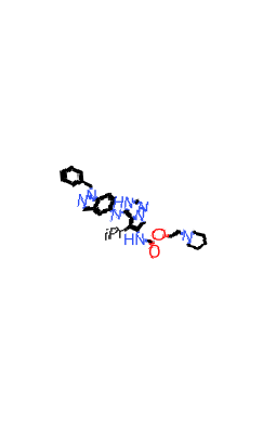 CC(C)c1c(NC(=O)OCCN2CCCCC2)cn2ncnc(Nc3ccc4c(cnn4Cc4ccccc4)c3)c12